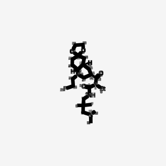 CCN(C(=O)NCC(C)(C)CN(C)C)C(=O)[C@@H]1C[C@@H]2CC3(CC[C@H]2N(CCF)C1)OCCO3